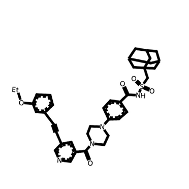 CCOc1cccc(C#Cc2cncc(C(=O)N3CCN(c4ccc(C(=O)NS(=O)(=O)CC56CC7CC(CC(C7)C5)C6)cc4)CC3)c2)c1